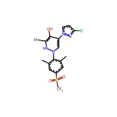 CCC1=C(O)C(n2ccc(Cl)n2)=CN(c2c(C)cc(S(=O)(=O)C(F)(F)F)cc2C)N1